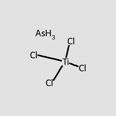 [AsH3].[Cl][Ti]([Cl])([Cl])[Cl]